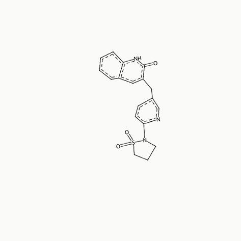 O=c1[nH]c2ccccc2cc1Cc1ccc(N2CCCS2(=O)=O)nc1